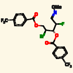 CON=C[C@@H](F)[C@H](OC(=O)c1ccc(C(F)(F)F)cc1)[C@@H](Br)COC(=O)c1ccc(C(F)(F)F)cc1